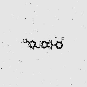 Fc1cccc(-c2nc3cnn(Cc4ccc(Cl)nn4)cc-3n2)c1F